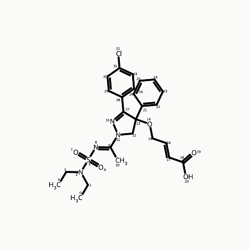 CCN(CC)S(=O)(=O)/N=C(\C)N1CC(OC/C=C/C(=O)O)(c2ccccc2)C(c2ccc(Cl)cc2)=N1